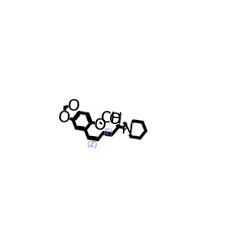 COc1cc2c(cc1/C=C\C=C\C(=O)N1CCCCC1)OCO2